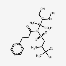 CCCN[C@H](CO)[C@](C)(C(=O)O)N(C(=O)CCc1ccccc1)S(=O)(=O)CC(N)C(C)(S)CC